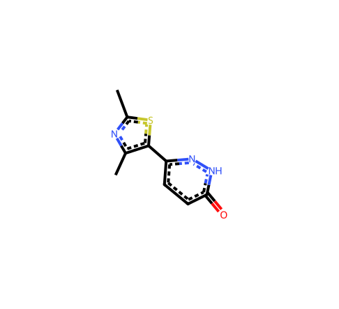 Cc1nc(C)c(-c2ccc(=O)[nH]n2)s1